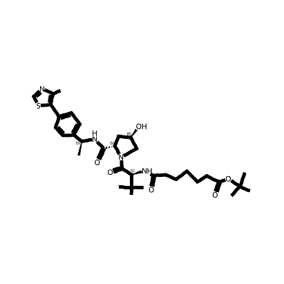 Cc1ncsc1-c1ccc([C@H](C)NC(=O)[C@@H]2C[C@@H](O)CN2C(=O)[C@@H](NC(=O)CCCCCC(=O)OC(C)(C)C)C(C)(C)C)cc1